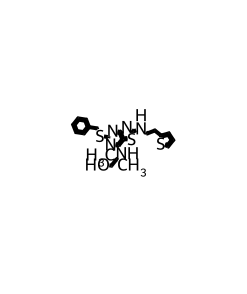 CC(C)(CO)Nc1nc(SCc2ccccc2)nc2nc(NCCc3cccs3)sc12